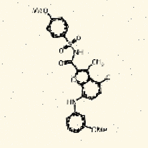 COc1ccc(S(=O)(=O)NC(=O)c2oc3c(Nc4cccc(OC)c4)ccc(Cl)c3c2C)cc1